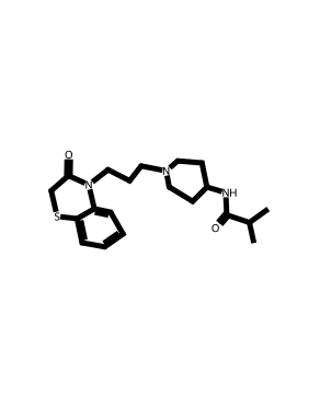 CC(C)C(=O)NC1CCN(CCCN2C(=O)CSc3ccccc32)CC1